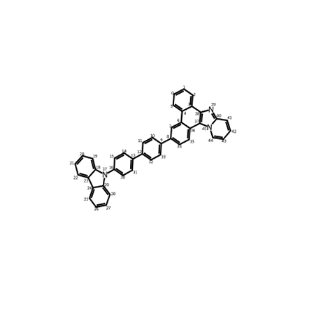 c1ccc2c(c1)c1cc(-c3ccc(-c4ccc(-n5c6ccccc6c6ccccc65)cc4)cc3)ccc1c1c2nc2ccccn21